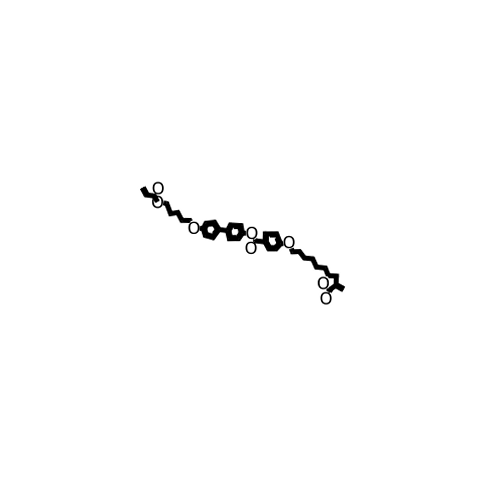 C=CC(=O)OCCCCCOc1ccc(-c2ccc(OC(=O)c3ccc(OCCCCCCC4CC(=C)C(=O)O4)cc3)cc2)cc1